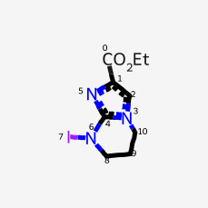 CCOC(=O)c1cn2c(n1)N(I)CCC2